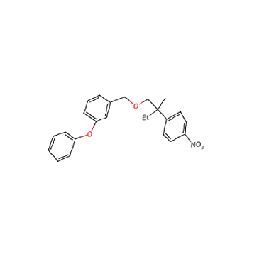 CCC(C)(COCc1cccc(Oc2ccccc2)c1)c1ccc([N+](=O)[O-])cc1